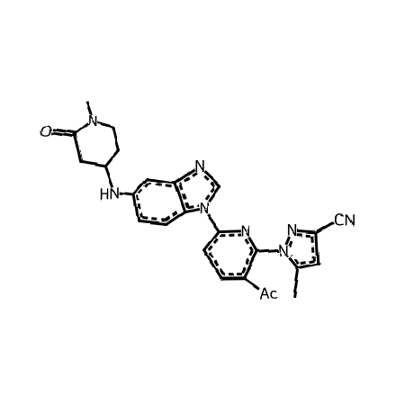 CC(=O)c1ccc(-n2cnc3cc(NC4CCN(C)C(=O)C4)ccc32)nc1-n1nc(C#N)cc1C